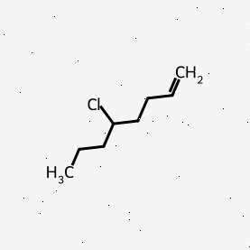 C=CCCC(Cl)CCC